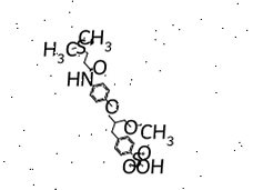 CCOCC(COc1ccc(NC(=O)CC[S+](C)C)cc1)Cc1ccc(S(=O)(=O)O)cc1